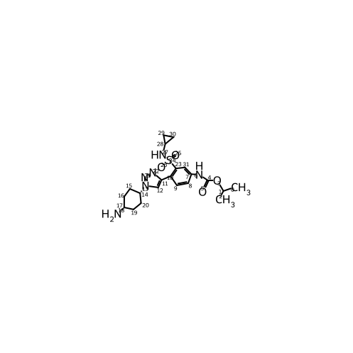 CC(C)OC(=O)Nc1ccc(-c2cn([C@H]3CC[C@H](N)CC3)nn2)c(S(=O)(=O)NC2CC2)c1